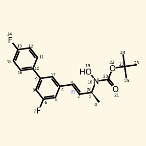 C[C@@H](/C=C/c1cc(F)cc(-c2ccc(F)cc2)c1)N(O)C(=O)OC(C)(C)C